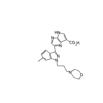 Cc1ccc2c(-c3cnc4[nH]cc(C(=O)O)c4n3)nn(CCCN3CCOCC3)c2c1